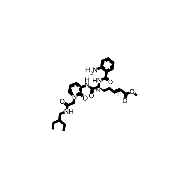 CCC(CC)CNC(=O)Cn1cccc(NC(=O)[C@H](CC/C=C/C(=O)OC)NC(=O)c2ccccc2N)c1=O